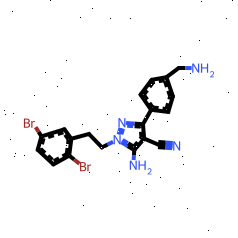 N#Cc1c(-c2ccc(CN)cc2)nn(CCc2cc(Br)ccc2Br)c1N